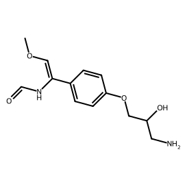 COC=C(NC=O)c1ccc(OCC(O)CN)cc1